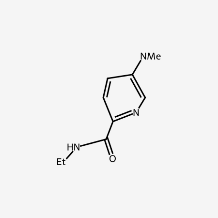 CCNC(=O)c1ccc(NC)cn1